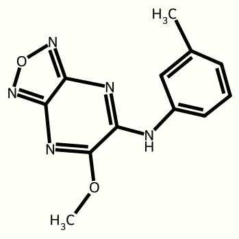 COc1nc2nonc2nc1Nc1cccc(C)c1